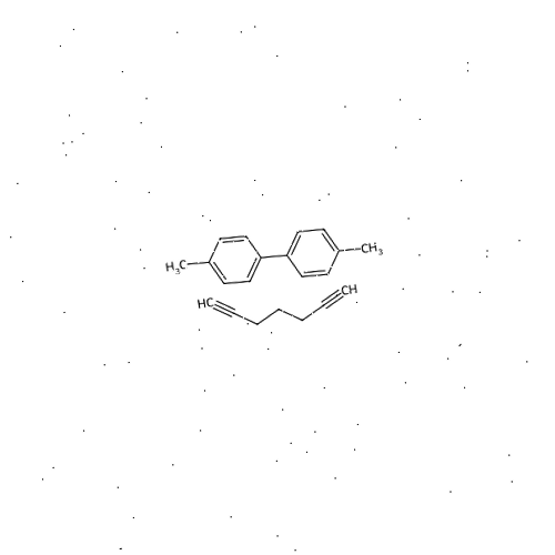 C#CCCCC#C.Cc1ccc(-c2ccc(C)cc2)cc1